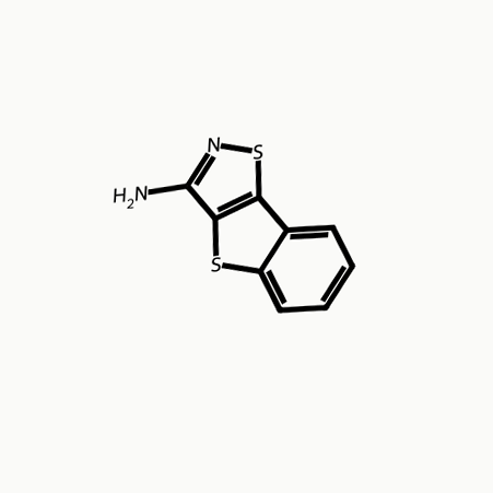 Nc1nsc2c1sc1ccccc12